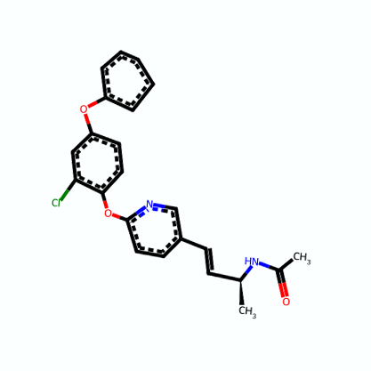 CC(=O)N[C@@H](C)/C=C/c1ccc(Oc2ccc(Oc3ccccc3)cc2Cl)nc1